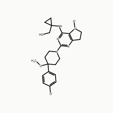 COC1(c2ccc(Cl)cc2)CCN(c2nc3c(c(NC4(CO)CC4)n2)[S+]([O-])CC3)CC1